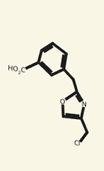 O=C(O)c1cccc(Cc2nc(CCl)co2)c1